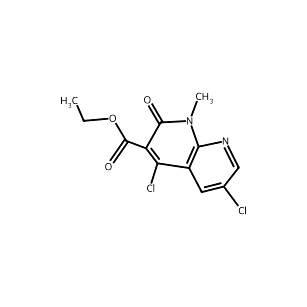 CCOC(=O)c1c(Cl)c2cc(Cl)cnc2n(C)c1=O